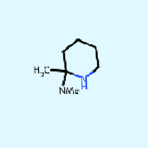 CNC1(C)CCCCN1